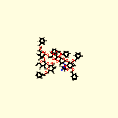 CCC1OC(OC2C(OCC3OC(OC4C(COCc5ccccc5)OC(OC5C(OCc6ccccc6)C(C)C(OCc6ccccc6)C6OC(C)(C)OC56)C(N=[N+]=[N-])C4C)C(OCc4ccccc4)C(C)C3C)OC(COCc3ccccc3)C(C)C2C)C(OC2OC(COCc3ccccc3)C(C)C(C)C2O)C(C)C1C